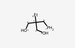 CCC(CO)(CO)CP